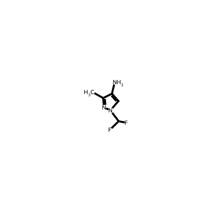 Cc1nn(C(F)F)cc1N